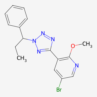 CCC(c1ccccc1)n1nnc(-c2cc(Br)cnc2OC)n1